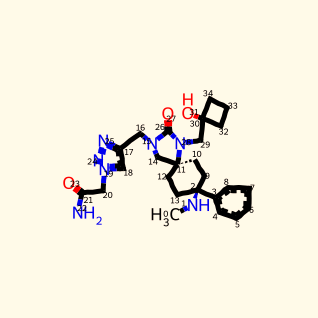 CN[C@]1(c2ccccc2)CC[C@]2(CC1)CN(Cc1cn(CC(N)=O)nn1)C(=O)N2CC1(O)CCC1